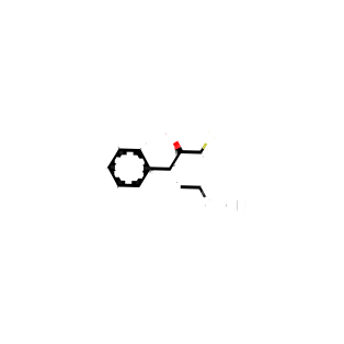 O=C(O)CC[C@@H](C(=O)CS)c1ccccc1